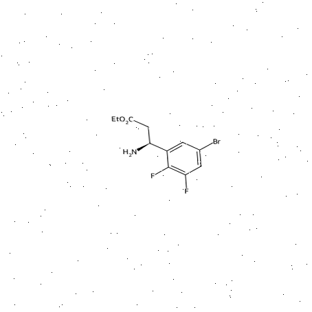 CCOC(=O)C[C@H](N)c1cc(Br)cc(F)c1F